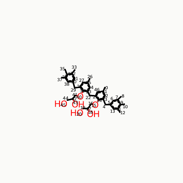 Cc1cc(Cc2cc(C)c(C)c(C)c2)c(OCC(O)CO)c(Cc2cc(C)cc(Cc3cc(C)c(C)c(C)c3)c2OCC(O)CO)c1